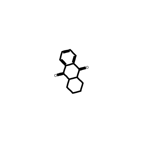 O=C1c2ccccc2C(=O)C2CCCCC12